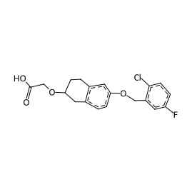 O=C(O)COC1CCc2cc(OCc3cc(F)ccc3Cl)ccc2C1